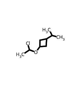 C[C](Cl)OC1CC(C(C)C)C1